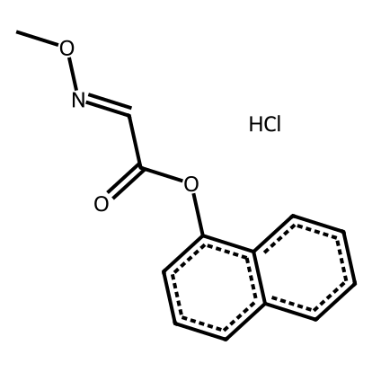 CON=CC(=O)Oc1cccc2ccccc12.Cl